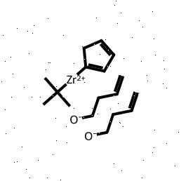 C=CCC[O-].C=CCC[O-].C[C](C)(C)[Zr+2][C]1=CC=CC1